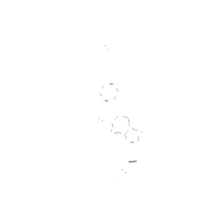 NC(=O)Oc1cnn2ccc(N3CCC[C@@H]3c3cc(F)cc(OCCN4CCOCC4)c3)nc12